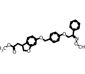 CO/N=C(\COc1ccc(COc2ccc3c(c2)OCC3CC(=O)OC)cc1)c1ccccc1